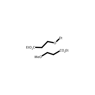 CCOC(=O)CCOC.CCOCCC(=O)OCC